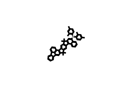 Cc1ccc(N(c2ccc(C)cc2C)c2cc3c(c4ccccc24)-c2cc4c(cc2C3(C)C)-c2c(cc3c5c(cccc25)-c2ccccc2-3)C4(C)C)c(C)c1